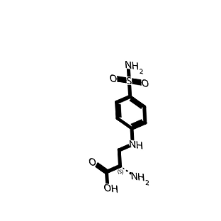 N[C@@H](CNc1ccc(S(N)(=O)=O)cc1)C(=O)O